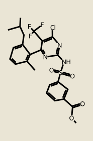 COC(=O)c1cccc(S(=O)(=O)Nc2nc(Cl)c(C(F)(F)F)c(-c3c(C)cccc3CC(C)C)n2)c1